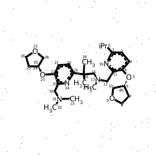 CC(C)c1ccc(O[C@@H]2CCOC2)c(CN(C)CC(C)(C)c2ccc(O[C@H]3CCOC3)c(CN(C)C)n2)n1